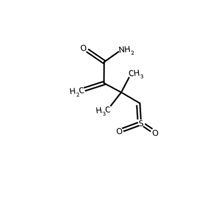 C=C(C(N)=O)C(C)(C)C=S(=O)=O